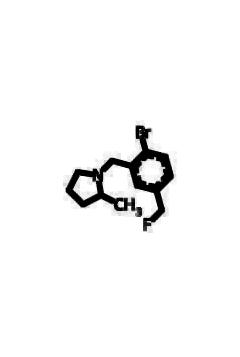 CC1CCCN1Cc1cc(CF)ccc1Br